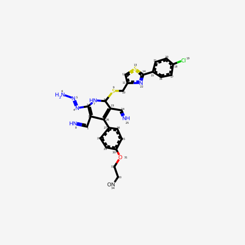 N=CC1=C(N=NN)NC(SCc2csc(-c3ccc(Cl)cc3)n2)C(C=N)=C1c1ccc(OCCN=O)cc1